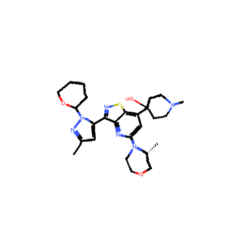 Cc1cc(-c2nsc3c(C4(O)CCN(C)CC4)cc(N4CCOC[C@H]4C)nc23)n(C2CCCCO2)n1